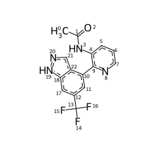 CC(=O)Nc1cccnc1-c1cc(C(F)(F)F)cc2[nH]ncc12